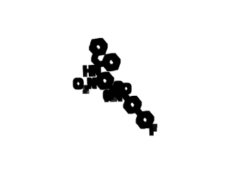 O=C(NS(=O)(=O)c1ccc(NC(Cc2ccccc2)c2ccccc2)c([N+](=O)[O-])c1)c1ccc(-c2ccc(F)cc2)cc1